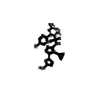 Cc1ccc(-c2nnc(NS(=O)(=O)[C@@H](C)[C@@H](OC(C)C)c3ncc(Cl)cn3)n2C2CC2)o1